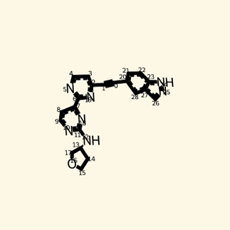 C(#Cc1ccnc(-c2ccnc(N[C@@H]3CCOC3)n2)n1)c1ccc2[nH]ncc2c1